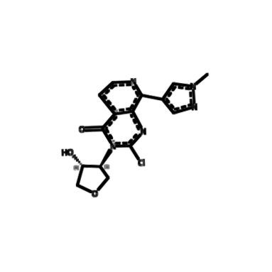 Cn1cc(-c2nccc3c(=O)n([C@H]4COC[C@@H]4O)c(Cl)nc23)cn1